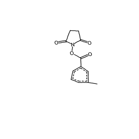 Cc1cccc(C(=O)ON2C(=O)CCC2=O)c1